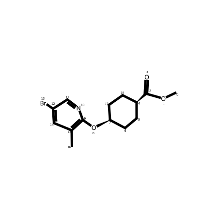 COC(=O)[C@H]1CC[C@@H](Oc2ncc(Br)cc2C)CC1